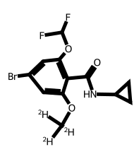 [2H]C([2H])([2H])Oc1cc(Br)cc(OC(F)F)c1C(=O)NC1CC1